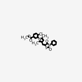 COC(=O)c1ccc(Cl)c(-n2c(C)cc(C=C3SC(=O)N(c4ccccc4)C3=O)c2C)c1